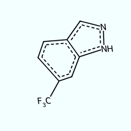 FC(F)(F)c1ccc2cn[nH]c2c1